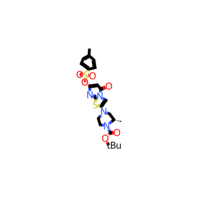 Cc1ccc(S(=O)(=O)Oc2cc(=O)n3cc(N4CCN(C(=O)OC(C)(C)C)[C@@H](C)C4)sc3n2)cc1